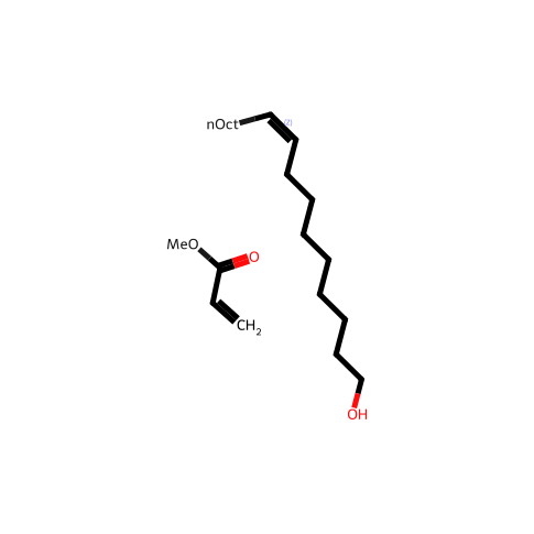 C=CC(=O)OC.CCCCCCCC/C=C\CCCCCCCCO